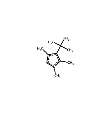 Cc1nn(C)c(C)c1C(C)(C)N